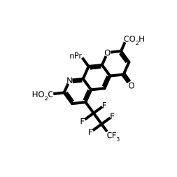 CCCc1c2nc(C(=O)O)cc(C(F)(F)C(F)(F)C(F)(F)F)c2cc2c(=O)cc(C(=O)O)oc12